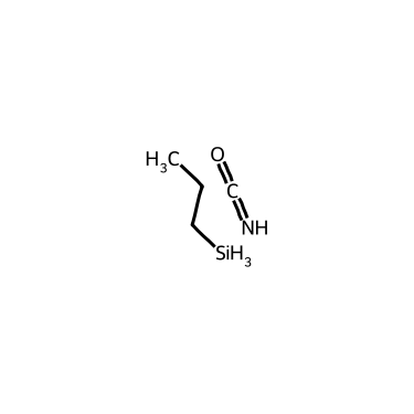 CCC[SiH3].N=C=O